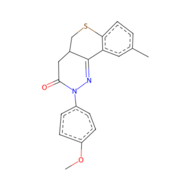 COc1ccc(N2N=C3c4cc(C)ccc4SCC3CC2=O)cc1